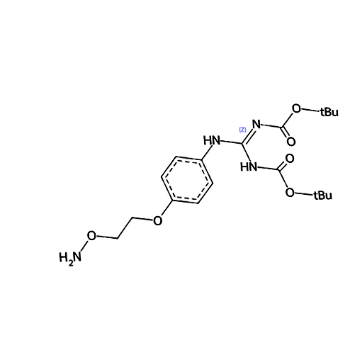 CC(C)(C)OC(=O)/N=C(\NC(=O)OC(C)(C)C)Nc1ccc(OCCON)cc1